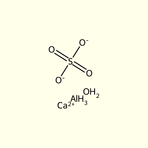 O.O=S(=O)([O-])[O-].[AlH3].[Ca+2]